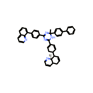 CC1(c2ccc(-c3ccccc3)cc2)N=C(c2ccc(-c3cccc4cccnc34)cc2)N=C(C2=CCC(C3C=CCC4C=CC=N[C@H]43)C=C2)N1